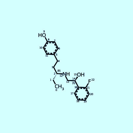 CC[C@H](CCc1ccc(O)cc1)NC[C@@H](O)c1ccccc1F